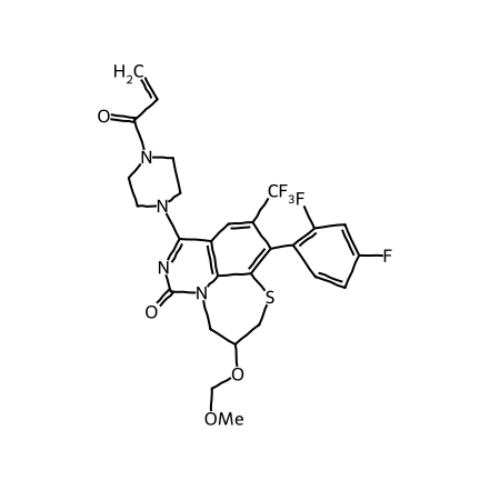 C=CC(=O)N1CCN(c2nc(=O)n3c4c(c(-c5ccc(F)cc5F)c(C(F)(F)F)cc24)SCC(OCOC)C3)CC1